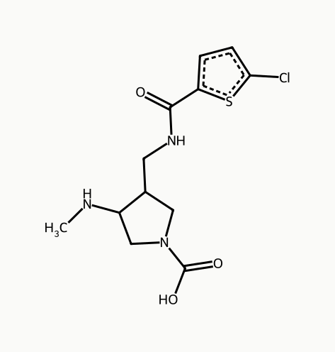 CNC1CN(C(=O)O)CC1CNC(=O)c1ccc(Cl)s1